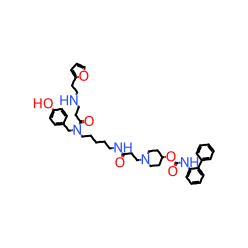 O=C(CCN1CCC(OC(=O)Nc2ccccc2-c2ccccc2)CC1)NCCCCCN(Cc1ccc(O)cc1)C(=O)CCNCCc1ccco1